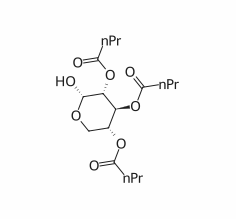 CCCC(=O)O[C@@H]1[C@@H](OC(=O)CCC)[C@H](OC(=O)CCC)CO[C@@H]1O